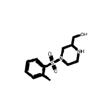 Cc1ccccc1S(=O)(=O)N1CCNC(CO)C1